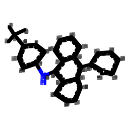 CC(C)(C)c1ccc(Nc2c3ccccc3c(-c3ccccc3)c3ccccc23)cc1